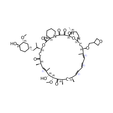 CO[C@@H]1C[C@H](CC(C)[C@@H]2CC(=O)[C@H](C)/C=C(\C)[C@@H](O)[C@@H](OC)C(=O)[C@H](C)C[C@H](C)/C=C/C=C/C=C(\C)[C@H](OCC3COC3)C[C@@H]3CC[C@@H](C)[C@@](O)(O3)C(=O)C(=O)N3CCCC[C@H]3C(=O)O2)CC[C@H]1O